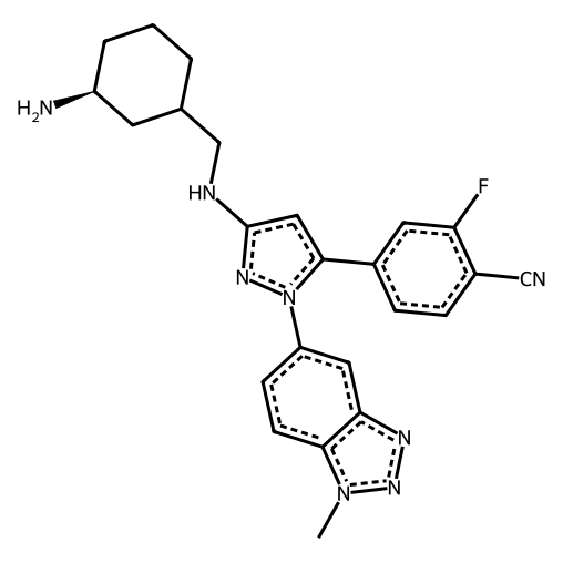 Cn1nnc2cc(-n3nc(NCC4CCC[C@H](N)C4)cc3-c3ccc(C#N)c(F)c3)ccc21